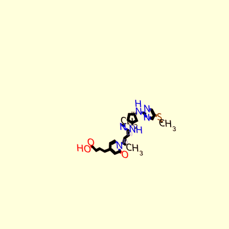 C=N/C(=C\C=C(/C)n1ccc(CCCC(=O)O)cc1=O)N[C@H]1CC[C@H](Nc2ncc(SC)cn2)C1